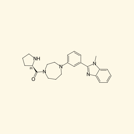 Cn1c(-c2cccc(N3CCCN(C(=O)[C@H]4CCCN4)CC3)c2)nc2ccccc21